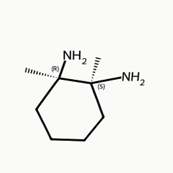 C[C@]1(N)CCCC[C@@]1(C)N